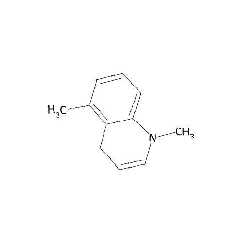 Cc1cccc2c1CC=CN2C